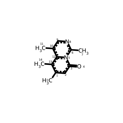 Cc1cc(=O)n2c(C)ncc(C)c2c1C